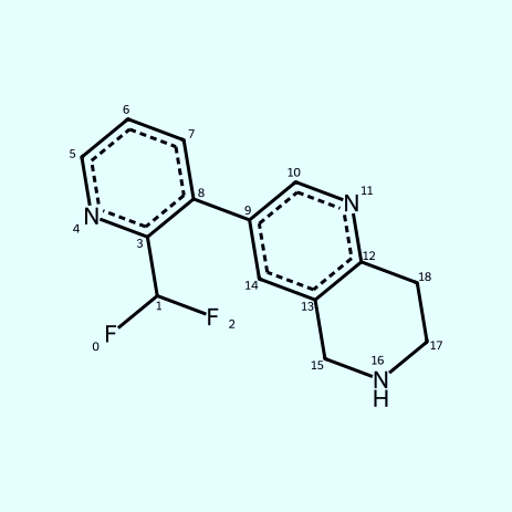 FC(F)c1ncccc1-c1cnc2c(c1)CNCC2